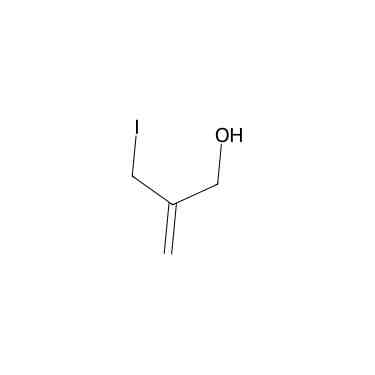 C=C(CO)CI